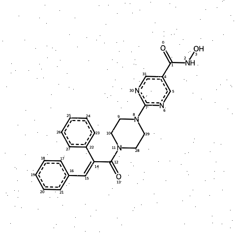 O=C(NO)c1cnc(N2CCN(C(=O)/C(=C/c3ccccc3)c3ccccc3)CC2)nc1